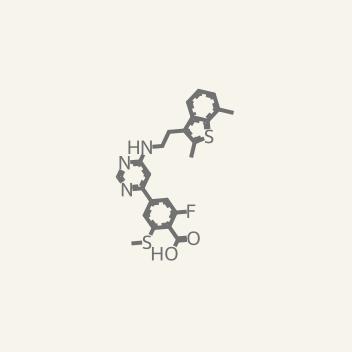 CSc1cc(-c2cc(NCCc3c(C)sc4c(C)cccc34)ncn2)cc(F)c1C(=O)O